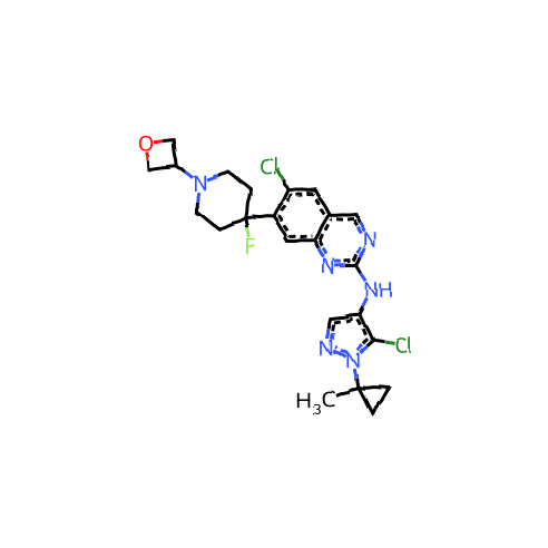 CC1(n2ncc(Nc3ncc4cc(Cl)c(C5(F)CCN(C6COC6)CC5)cc4n3)c2Cl)CC1